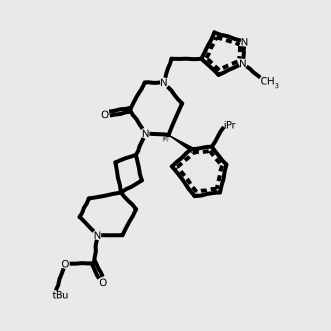 CC(C)c1ccccc1[C@@H]1CN(Cc2cnn(C)c2)CC(=O)N1C1CC2(CCN(C(=O)OC(C)(C)C)CC2)C1